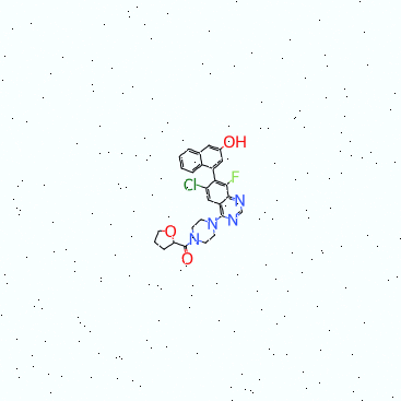 O=C(C1CCCO1)N1CCN(c2ncnc3c(F)c(-c4cc(O)cc5ccccc45)c(Cl)cc23)CC1